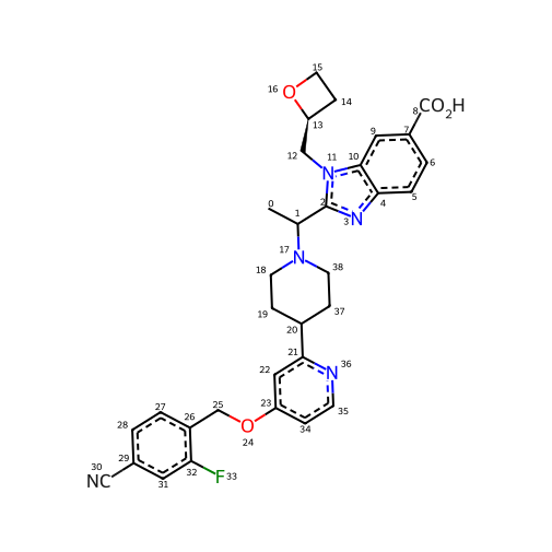 CC(c1nc2ccc(C(=O)O)cc2n1C[C@@H]1CCO1)N1CCC(c2cc(OCc3ccc(C#N)cc3F)ccn2)CC1